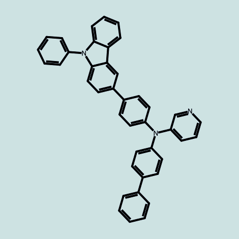 c1ccc(-c2ccc(N(c3ccc(-c4ccc5c(c4)c4ccccc4n5-c4ccccc4)cc3)c3cccnc3)cc2)cc1